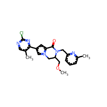 COCC1Cn2cc(-c3nc(Cl)ncc3C)cc2C(=O)N1Cc1cccc(C)n1